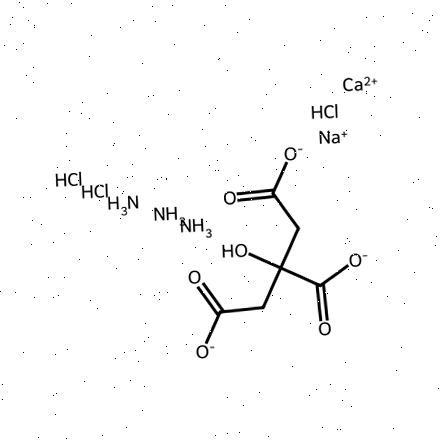 Cl.Cl.Cl.N.N.N.O=C([O-])CC(O)(CC(=O)[O-])C(=O)[O-].[Ca+2].[Na+]